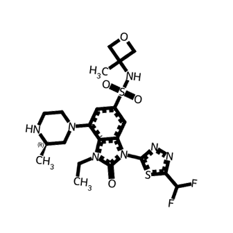 CCn1c(=O)n(-c2nnc(C(F)F)s2)c2cc(S(=O)(=O)NC3(C)COC3)cc(N3CCN[C@H](C)C3)c21